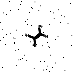 [2H]C([2H])=C([2H])C(C)C